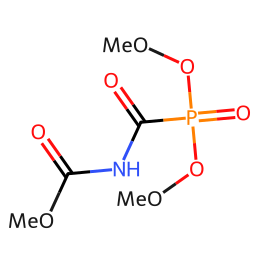 COOP(=O)(OOC)C(=O)NC(=O)OC